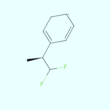 C[C@@H](C1=CC[CH]C=C1)C(F)F